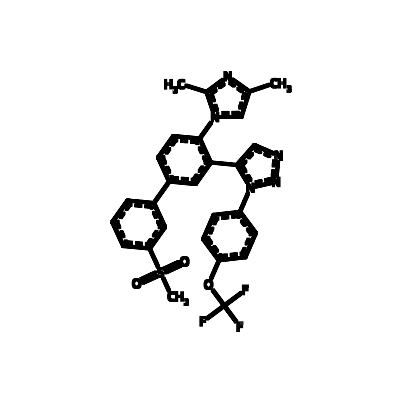 Cc1cn(-c2ccc(-c3cccc(S(C)(=O)=O)c3)cc2-c2cnnn2-c2ccc(OC(F)(F)F)cc2)c(C)n1